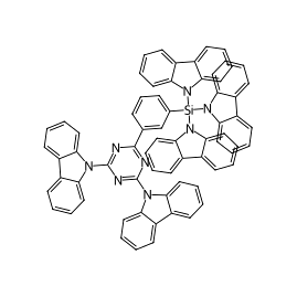 c1cc(-c2nc(-n3c4ccccc4c4ccccc43)nc(-n3c4ccccc4c4ccccc43)n2)cc([Si](n2c3ccccc3c3ccccc32)(n2c3ccccc3c3ccccc32)n2c3ccccc3c3ccccc32)c1